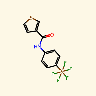 O=C(Nc1ccc(S(F)(F)(F)(F)F)cc1)c1ccsc1